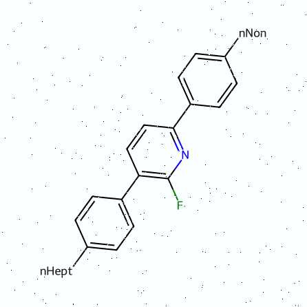 CCCCCCCCCc1ccc(-c2ccc(-c3ccc(CCCCCCC)cc3)c(F)n2)cc1